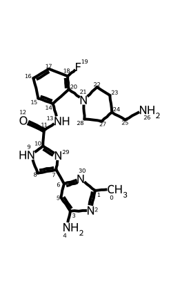 Cc1nc(N)cc(-c2c[nH]c(C(=O)Nc3cccc(F)c3N3CCC(CN)CC3)n2)n1